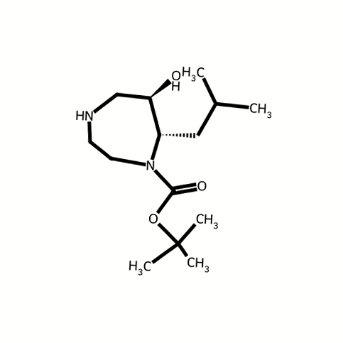 CC(C)C[C@H]1[C@H](O)CNCCN1C(=O)OC(C)(C)C